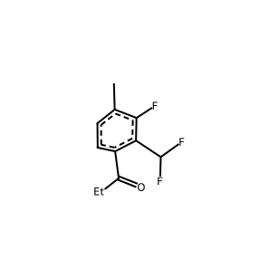 CCC(=O)c1ccc(C)c(F)c1C(F)F